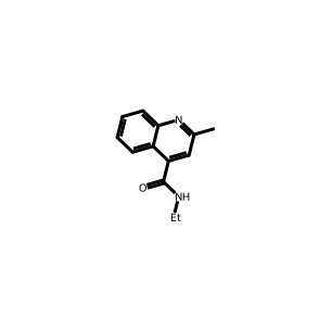 CCNC(=O)c1cc(C)nc2ccccc12